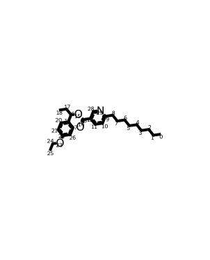 CCCCCCCCCc1ccc(C(=O)OC(CC)c2ccc(OCC)cc2)cn1